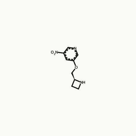 O=[N+]([O-])c1cncc(OC[C@@H]2CCN2)c1